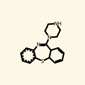 C1=CC2Sc3ccccc3N=C(N3CCNCC3)C2C=C1